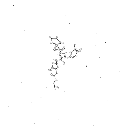 CCOC(=O)Cc1nc(NC(=O)c2cc(S(=O)(=O)c3cccs3)cn2Cc2ccc(Cl)c(F)c2)sc1Cl